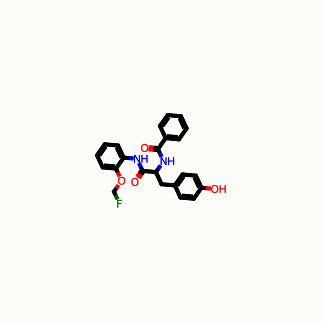 O=C(NC(Cc1ccc(O)cc1)C(=O)Nc1ccccc1OCF)c1ccccc1